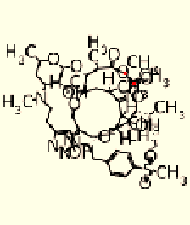 CC[C@H]1OC(=O)[C@H](C)C(=O)[C@H](C)[C@@H](O[C@@H]2O[C@H](C)C[C@H](N(C)CCc3cn([C@H](CF)Cc4ccc(S(C)(=O)=O)cc4)nn3)[C@H]2O)[C@@]2(C)C[C@@H](C)/C(=N\C(C)=O)[C@H](C)[C@@H](OC/C(=N\O)CO2)[C@]1(C)O